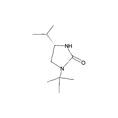 CC(C)[C@H]1CN(C(C)(C)C)C(=O)N1